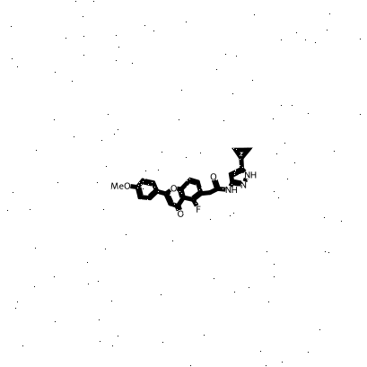 COc1ccc(-c2cc(=O)c3c(F)c(CC(=O)Nc4cc(C5CC5)[nH]n4)ccc3o2)cc1